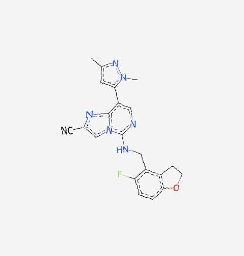 Cc1cc(-c2cnc(NCc3c(F)ccc4c3CCO4)n3cc(C#N)nc23)n(C)n1